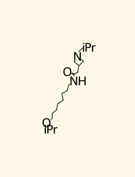 CC(C)CN1CC(CC(=O)NCCCCCCCCOC(C)C)C1